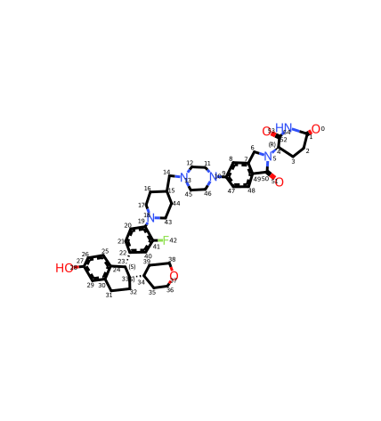 O=C1CC[C@@H](N2Cc3cc(N4CCN(CC5CCN(c6ccc([C@H]7c8ccc(O)cc8CC[C@H]7C7CCOCC7)cc6F)CC5)CC4)ccc3C2=O)C(=O)N1